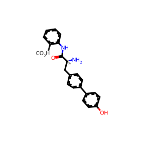 N[C@@H](Cc1ccc(-c2ccc(O)cc2)cc1)C(=O)Nc1ccccc1C(=O)O